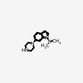 CN(C)n1ccc2ccc(N3CCNCC3)cc21